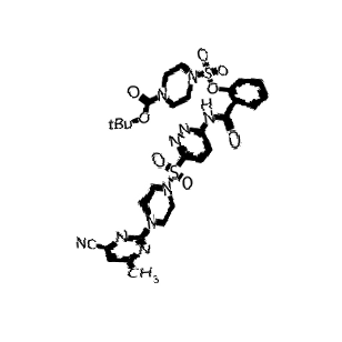 Cc1cc(C#N)nc(N2CCN(S(=O)(=O)c3ccc(NC(=O)c4ccccc4OS(=O)(=O)N4CCN(C(=O)OC(C)(C)C)CC4)nn3)CC2)n1